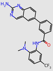 CN(C)c1ccc(C(F)(F)F)cc1NC(=O)c1cccc(-c2ccc3nc(N)ncc3c2)c1